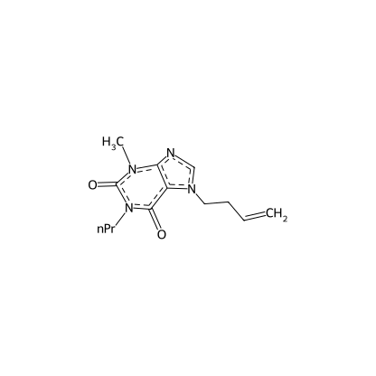 C=CCCn1cnc2c1c(=O)n(CCC)c(=O)n2C